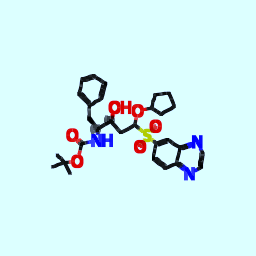 CC(C)(C)OC(=O)N[C@@H](Cc1ccccc1)[C@@H](O)CC(OC1CCCC1)S(=O)(=O)c1ccc2nccnc2c1